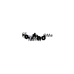 CO/C(=N\C(=N)c1ccc(OC(F)(F)F)cc1)c1cc(C)n(Cc2ccnc(N3CCCC(OC)C3)c2)n1